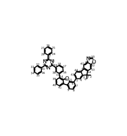 CC1(C)c2cc(-c3cccc4c3oc3c(-c5cccc(-c6nc(-c7ccccc7)nc(-c7ccccc7)n6)c5)cccc34)ccc2-c2cc3ncoc3cc21